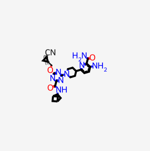 N#C[C@@H]1C[C@@H]1COc1nc(C(=O)NC2CC3CC2C3)nc(N2CCC(c3ccc(N)c(C(N)=O)n3)CC2)n1